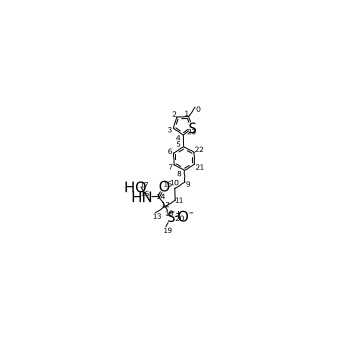 Cc1ccc(-c2ccc(CCCC(C)(C(=O)NO)[S+](C)[O-])cc2)s1